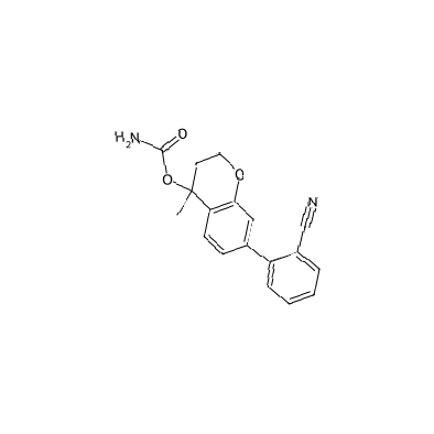 CC1(OC(N)=O)CCOc2cc(-c3ccccc3C#N)ccc21